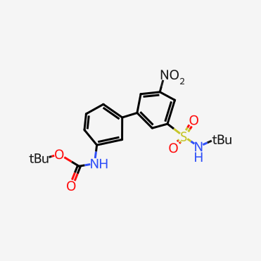 CC(C)(C)NS(=O)(=O)c1cc(-c2cccc(NC(=O)OC(C)(C)C)c2)cc([N+](=O)[O-])c1